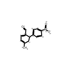 CC1=CC=C(C=O)C(c2ccc([N+](=O)[O-])cc2)C1